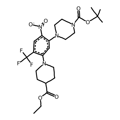 CCOC(=O)C1CCN(c2cc(N3CCN(C(=O)OC(C)(C)C)CC3)c([N+](=O)[O-])cc2C(F)(F)F)CC1